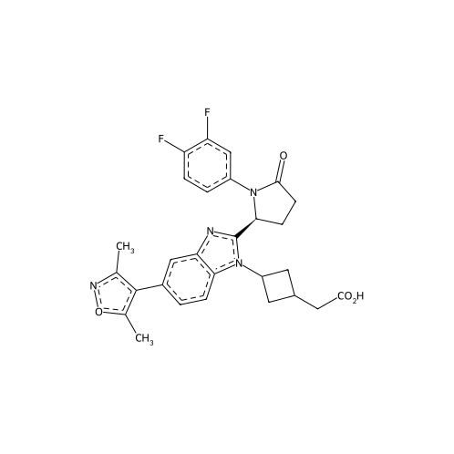 Cc1noc(C)c1-c1ccc2c(c1)nc([C@@H]1CCC(=O)N1c1ccc(F)c(F)c1)n2C1CC(CC(=O)O)C1